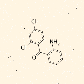 Nc1ccccc1C(=O)c1ccc(Cl)cc1Cl